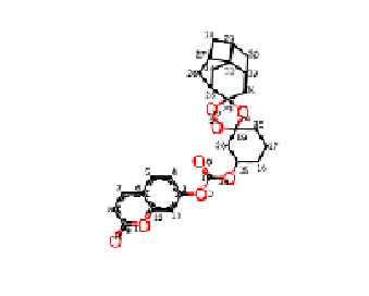 O=C(Oc1ccc2ccc(=O)oc2c1)OC1CCCC2(C1)OOC1(O2)C2CC3CC4CC1CC34C2